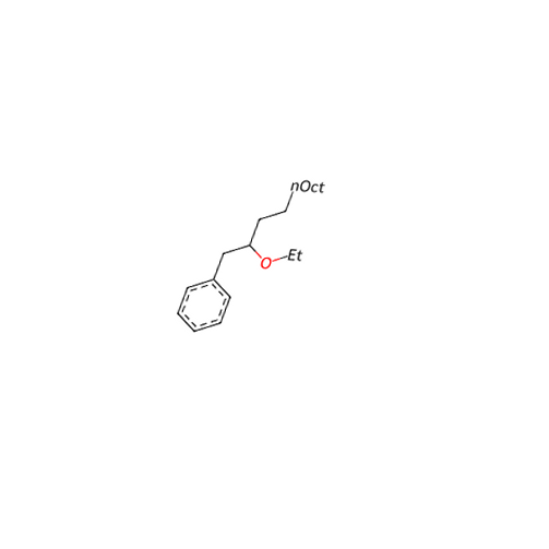 CCCCCCCCCCC(Cc1ccccc1)OCC